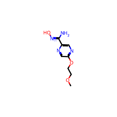 COCCOc1cnc(/C(N)=N/O)cn1